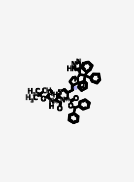 CC(C)(C)OC(=O)N[C@@H]1C(=O)N2[C@@H](C(=O)OC(c3ccccc3)c3ccccc3)C(/C=C3\CCN(C(c4nnn[nH]4)C(c4ccccc4)(c4ccccc4)c4ccccc4)C3=O)=CS[C@H]12